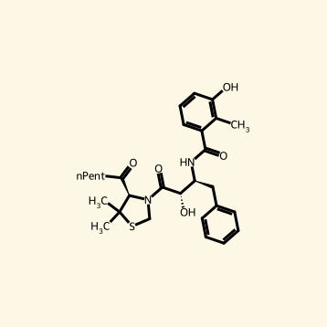 CCCCCC(=O)[C@H]1N(C(=O)[C@@H](O)[C@H](Cc2ccccc2)NC(=O)c2cccc(O)c2C)CSC1(C)C